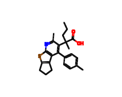 CCCC(C)(C(=O)O)c1c(C)nc2sc3c(c2c1-c1ccc(C)cc1)CCC3